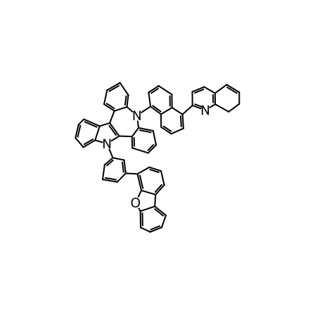 C1=Cc2ccc(-c3cccc4c(N5c6ccccc6-c6c(n(-c7cccc(-c8cccc9c8oc8ccccc89)c7)c7ccccc67)-c6ccccc65)cccc34)nc2CC1